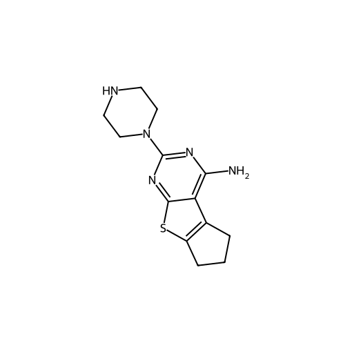 Nc1nc(N2CCNCC2)nc2sc3c(c12)CCC3